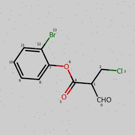 O=CC(CCl)C(=O)Oc1ccccc1Br